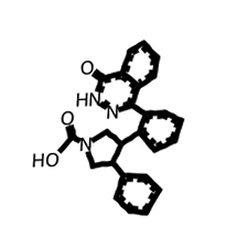 O=C(O)N1CC(c2ccccc2)C(c2ccccc2-c2n[nH]c(=O)c3ccccc23)C1